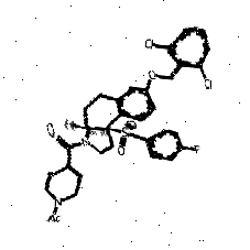 CC(=O)N1CCC(C(=O)N2CC[C@@]3(S(=O)(=O)c4ccc(F)cc4)c4ccc(OCc5c(Cl)cccc5Cl)cc4CC[C@@H]23)CC1